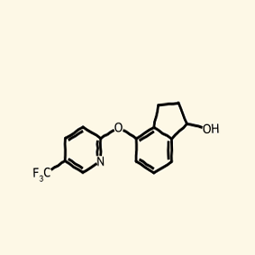 OC1CCc2c(Oc3ccc(C(F)(F)F)cn3)cccc21